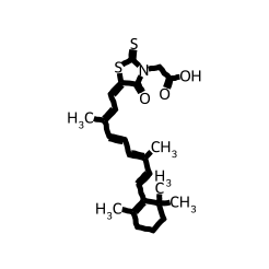 CC(C=CC1=C(C)CCCC1(C)C)=CC=CC(C)=CC=C1SC(=S)N(CC(=O)O)C1=O